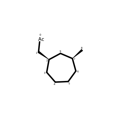 CC(=O)C[C@@H]1CCCC[C@H](C)C1